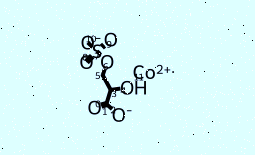 O=C([O-])C(O)COS(=O)(=O)[O-].[Co+2]